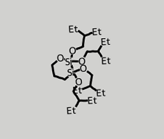 CCC(CC)CO[Si]1(OCC(CC)CC)CCCO[Si]1(OCC(CC)CC)OCC(CC)CC